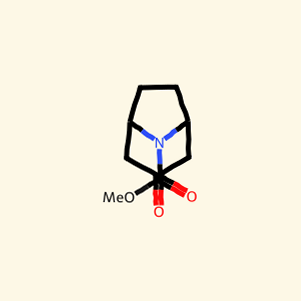 COC(=O)N1C2CCC1CC(=O)C2